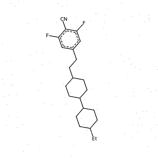 CCC1CCC(C2CCC(CCc3cc(F)c(C#N)c(F)c3)CC2)CC1